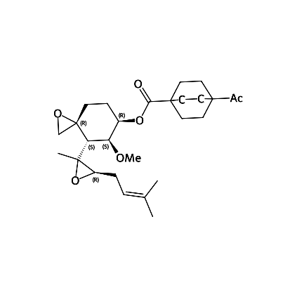 CO[C@H]1[C@H](C2(C)O[C@@H]2CC=C(C)C)[C@]2(CC[C@H]1OC(=O)C13CCC(C(C)=O)(CC1)CC3)CO2